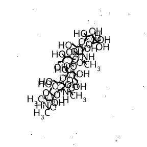 CC(=O)NC1[C@H](OC2C(O)[C@H](O)C(CO)O[C@@H]2O[C@@H]2C(O)[C@H](O[C@@H]3C(CO)O[C@@H](O[C@@H]4C(CO)O[C@@H](C)C(NC(C)=O)[C@H]4O)C(NC(C)=O)[C@H]3O)OC(CO)[C@H]2O)OC(CO)[C@@H](O[C@@H]2OC3[C@@H]([C@H](O)C2O)C3(O)O)[C@@H]1O